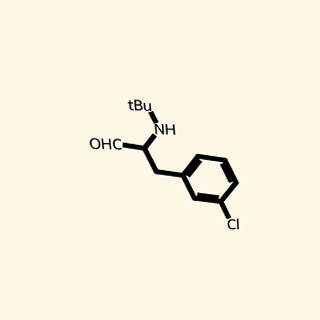 CC(C)(C)NC(C=O)Cc1cccc(Cl)c1